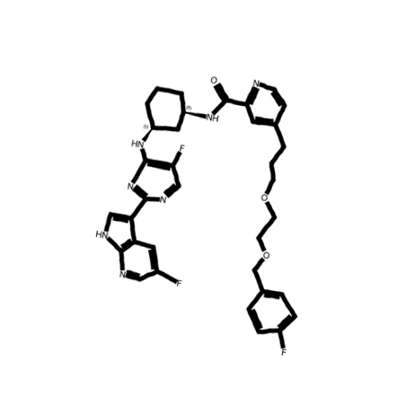 O=C(N[C@@H]1CCC[C@H](Nc2nc(-c3c[nH]c4ncc(F)cc34)ncc2F)C1)c1cc(CCCOCCOCc2ccc(F)cc2)ccn1